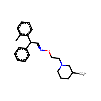 Cc1ccccc1C(C=NOCCN1CCCC(C(=O)O)C1)c1ccccc1